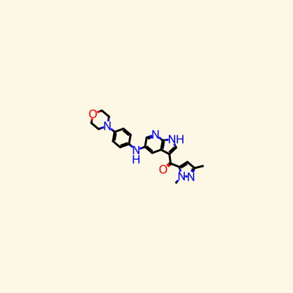 Cc1cc(C(=O)c2c[nH]c3ncc(Nc4ccc(N5CCOCC5)cc4)cc23)n(C)n1